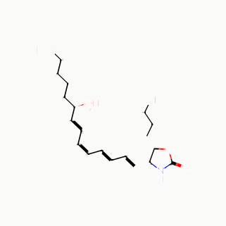 CCCCC[C@@H](O)/C=C/C=C\C=C\C=C\[C@H]1NC(=O)O[C@H]1CCCC